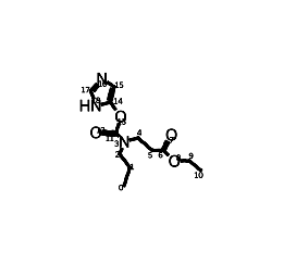 CCCN(CCC(=O)OCC)C(=O)Oc1cnc[nH]1